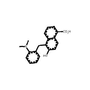 CN(C)c1ccccc1Cc1c(O)ccc2c(C(=O)O)cccc12